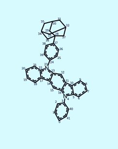 c1ccc(-n2c3ccccc3c3cc4c(cc32)c2ccccc2n4-c2ccc(C34CC5CC(CC(C5)C3)C4)cc2)cc1